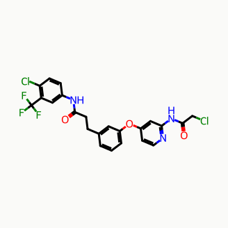 O=C(CCc1cccc(Oc2ccnc(NC(=O)CCl)c2)c1)Nc1ccc(Cl)c(C(F)(F)F)c1